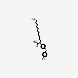 CCCCCCCCCCCCN(C(=O)O)c1ccc(Sc2ccc(O)cc2)cc1